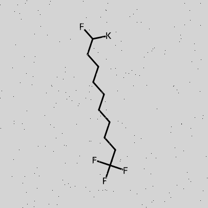 F[CH]([K])CCCCCCCCC(F)(F)F